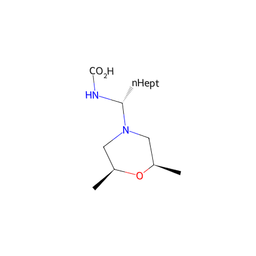 CCCCCCC[C@@H](NC(=O)O)N1C[C@@H](C)O[C@@H](C)C1